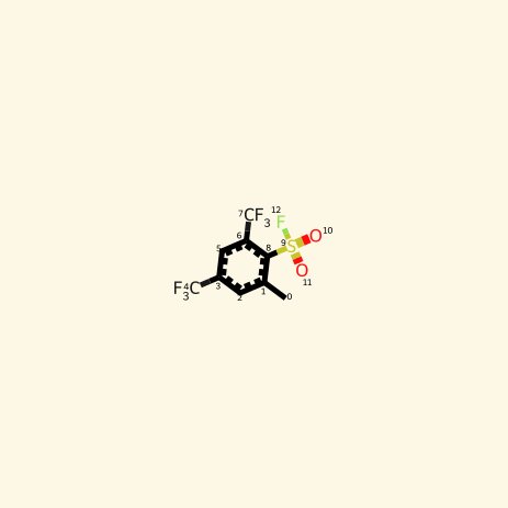 Cc1cc(C(F)(F)F)cc(C(F)(F)F)c1S(=O)(=O)F